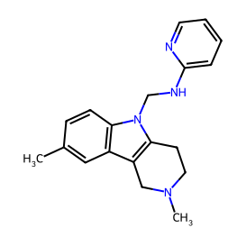 Cc1ccc2c(c1)c1c(n2CNc2ccccn2)CCN(C)C1